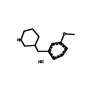 COc1cccc(CC2CCCNC2)c1.Cl